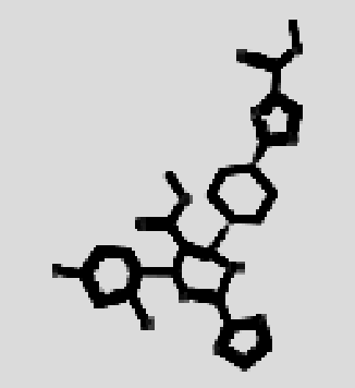 COC(=O)C1=C([C@H]2CC[C@@H](c3nc(C(=O)OC)co3)CC2)NC(c2nccs2)=NC1c1ccc(F)cc1Cl